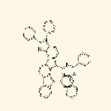 c1ccc(-c2nc(-c3ccccc3)nc(-n3c4ccc5c(nc(-c6ccccc6)n5-c5ccccc5)c4c4ccc5c6ccccc6n(-c6ccccc6)c5c43)n2)cc1